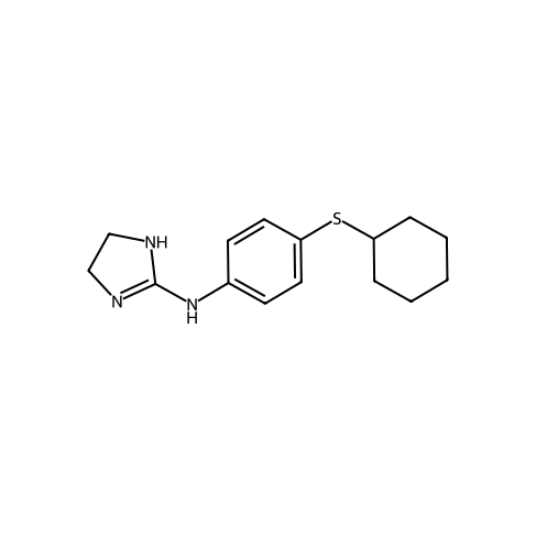 c1cc(SC2CCCCC2)ccc1NC1=NCCN1